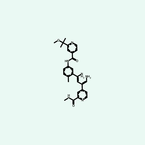 CNC(=O)c1cc(C(/C=C(\N)c2cc(NC(=O)c3ccnc(C(C)(C)OC)c3)ccc2C)=C/N)ccn1